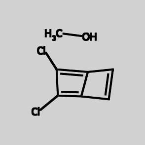 CO.Clc1c2ccc-2c1Cl